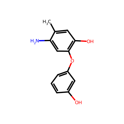 Cc1cc(O)c(Oc2cccc(O)c2)cc1N